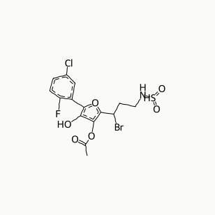 CC(=O)Oc1c(C(Br)CCN[SH](=O)=O)oc(-c2cc(Cl)ccc2F)c1O